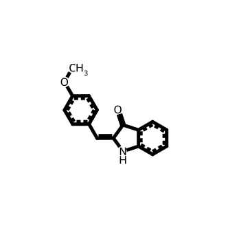 COc1ccc(C=C2Nc3ccccc3C2=O)cc1